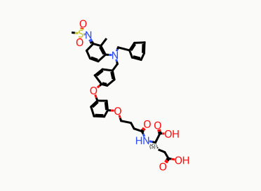 CC1=C(N(Cc2ccccc2)Cc2ccc(Oc3cccc(OCCCC(=O)N[C@@H](CCC(=O)O)C(=O)O)c3)cc2)C=CCC1=NS(C)(=O)=O